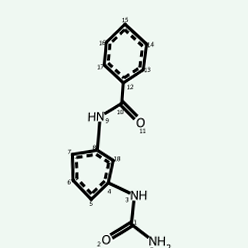 NC(=O)Nc1cccc(NC(=O)c2ccccc2)c1